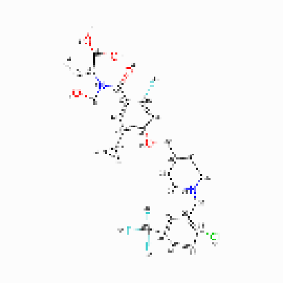 COC(=O)[C@@H]1[C@@H](C)OCN1C(=O)c1cc(C2CC2)c(OCC2CCN(Cc3cc(C(F)(F)F)ccc3Cl)CC2)cc1F